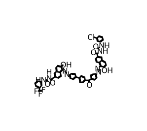 O=C(NC(=O)c1ccc2c(N=Nc3ccc(C(=O)c4ccc(-c5ccc(N=Nc6c(O)ccc7cc(C(=O)NC(=O)Nc8cccc(C(F)(F)F)c8)ccc67)cc5)cc4)cc3)c(O)ccc2c1)Nc1cccc(Cl)c1